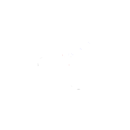 CCCCC/C=C\C/C=C\CCCCCCCC(=O)OCC(COC)(COC(=O)CCCCCCC/C=C\C/C=C\CCCCC)NCCSNCCCN(C)C